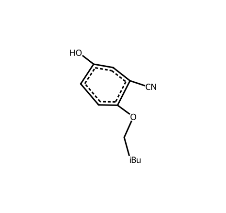 CCC(C)COc1ccc(O)cc1C#N